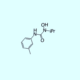 Cc1cccc(NC(=O)N(O)C(C)C)c1